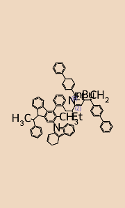 C=C(c1ccc(-c2ccccc2)cc1)C(/C=C(\N=C(/CCCC)C1=CCC(c2ccccc2)C=C1)C(CC)Cc1ccccc1-c1c(C)c(-n2c3c(c4ccccc42)CCC=C3)cc2c1-c1ccccc1C2C(C)c1ccccc1)CC